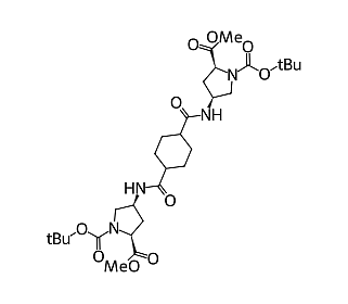 COC(=O)[C@@H]1C[C@H](NC(=O)C2CCC(C(=O)N[C@H]3C[C@@H](C(=O)OC)N(C(=O)OC(C)(C)C)C3)CC2)CN1C(=O)OC(C)(C)C